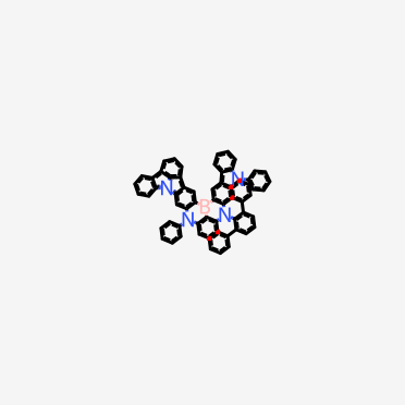 c1ccc(-c2cccc(-c3ccccc3)c2N2c3cc4c(cc3B3c5cc6c7cccc8c9ccccc9n(c6cc5N(c5ccccc5)c5cccc2c53)c87)c2ccccc2n4-c2ccccc2)cc1